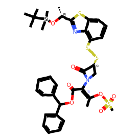 C/C(OS(C)(=O)=O)=C(\C(=O)OC(c1ccccc1)c1ccccc1)N1C[C@H](SSc2cccc3sc([C@@H](C)O[Si](C)(C)C(C)(C)C)nc23)C1=O